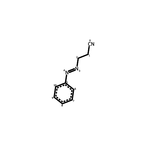 N#CCCN=Nc1ccccc1